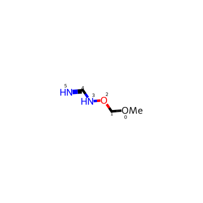 COCONC=N